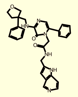 O=C(Cn1c(-c2ccccc2)cnc(NCC2(c3ccccc3)CCOC2)c1=O)NCc1cc2cnccc2[nH]1